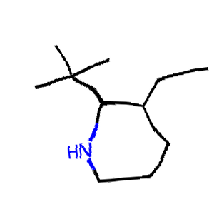 CCC1CCCNC1C(C)(C)C